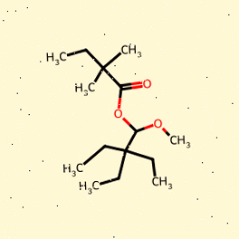 CCC(C)(C)C(=O)OC(OC)C(CC)(CC)CC